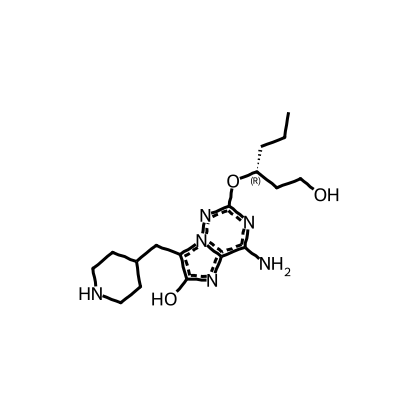 CCC[C@H](CCO)Oc1nc(N)c2nc(O)c(CC3CCNCC3)n2n1